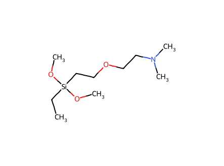 CC[Si](CCOCCN(C)C)(OC)OC